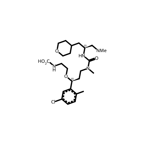 CNC[C@H](CC1CCOCC1)NC(=O)N(C)CC[C@H](OCCNC(=O)O)c1cc(Cl)ccc1C